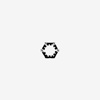 [c]1[c]nnnn1